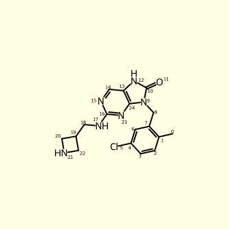 Cc1ccc(Cl)cc1Cn1c(=O)[nH]c2cnc(NCC3CNC3)nc21